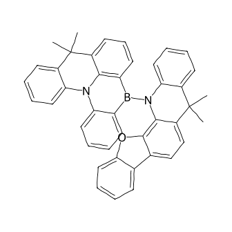 CC1(C)c2ccccc2N2c3ccccc3B(N3c4ccccc4C(C)(C)c4ccc5c(oc6ccccc65)c43)c3cccc1c32